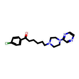 O=C(CCCCCN1CCN(c2cnccn2)CC1)c1ccc(Cl)cc1